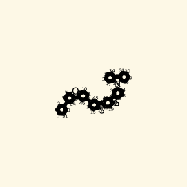 c1ccc(-c2ccc3oc4ccc(-c5ccc6sc7cc8sc9ccc(-n%10c%11ccccc%11c%11ccccc%11%10)cc9c8cc7c6c5)cc4c3c2)cc1